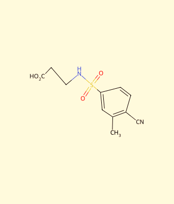 Cc1cc(S(=O)(=O)NCCC(=O)O)ccc1C#N